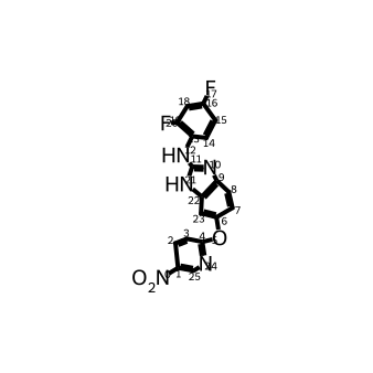 O=[N+]([O-])c1ccc(Oc2ccc3nc(Nc4ccc(F)cc4F)[nH]c3c2)nc1